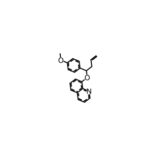 C=CCC(Oc1cccc2cccnc12)c1ccc(OC)cc1